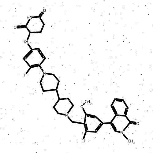 COc1cc(-c2cn(C)c(=O)c3ccccc23)cc(Cl)c1CN1CCC(C2CCN(c3ccc(NC4CCC(=O)NC4=O)cc3F)CC2)CC1